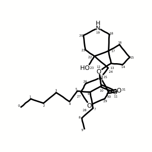 CCCCCCC(CCC)C(=O)OC1CCCC12CNCCC2(O)CN1CCOCC1=O